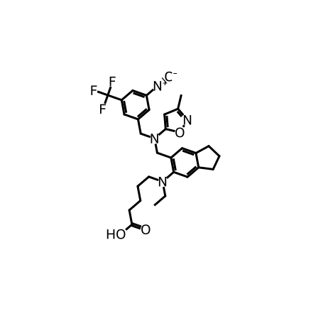 [C-]#[N+]c1cc(CN(Cc2cc3c(cc2N(CC)CCCCC(=O)O)CCC3)c2cc(C)no2)cc(C(F)(F)F)c1